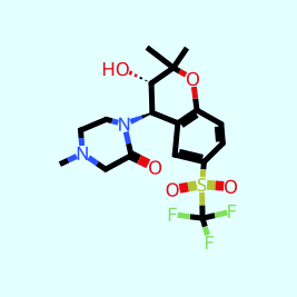 CN1CCN([C@@H]2c3cc(S(=O)(=O)C(F)(F)F)ccc3OC(C)(C)[C@H]2O)C(=O)C1